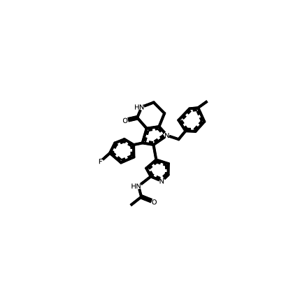 CC(=O)Nc1cc(-c2c(-c3ccc(F)cc3)c3c(n2Cc2ccc(C)cc2)CCNC3=O)ccn1